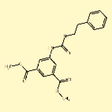 COC(=O)c1cc(NC(=O)NCCc2ccccc2)cc(C(=O)OC)c1